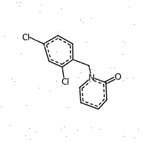 O=c1ccccn1Cc1ccc(Cl)cc1Cl